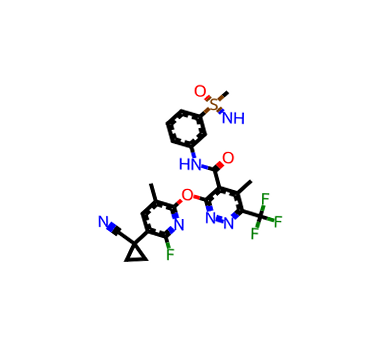 Cc1cc(C2(C#N)CC2)c(F)nc1Oc1nnc(C(F)(F)F)c(C)c1C(=O)Nc1cccc(S(C)(=N)=O)c1